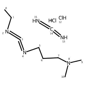 CCN=C=NCCCN(C)C.Cl.Cl.N=C=N